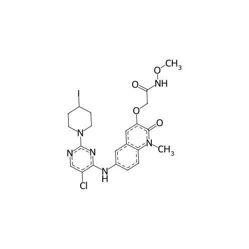 CONC(=O)COc1cc2cc(Nc3nc(N4CCC(I)CC4)ncc3Cl)ccc2n(C)c1=O